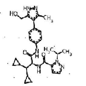 Cc1n[nH]c(CO)c1-c1ccc(NC(=O)[C@@H](NC(=O)c2ccnn2C(C)C)C(C2CC2)C2CC2)cc1